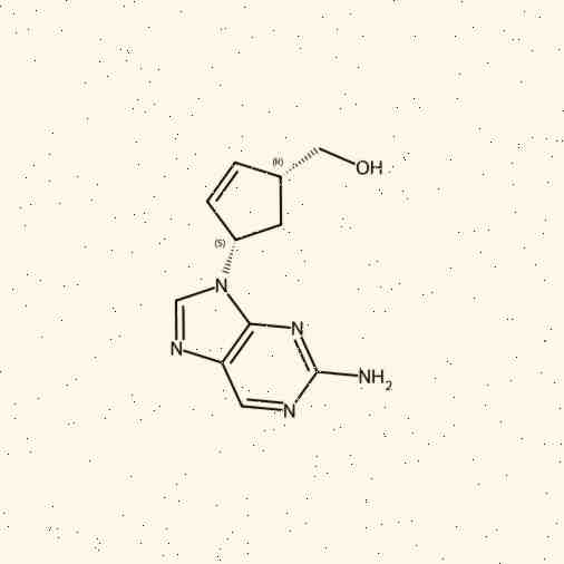 Nc1ncc2ncn([C@@H]3C=C[C@H](CO)C3)c2n1